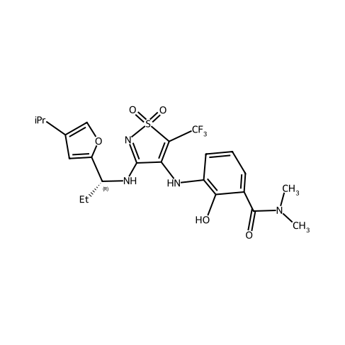 CC[C@@H](NC1=NS(=O)(=O)C(C(F)(F)F)=C1Nc1cccc(C(=O)N(C)C)c1O)c1cc(C(C)C)co1